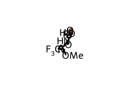 COCCCc1nc(C(F)(F)F)ccc1C=CC(=O)NCc1ccc(NS(C)(=O)=O)c(F)c1